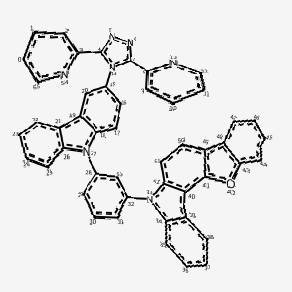 c1ccc(-c2nnc(-c3ccccn3)n2-c2ccc3c(c2)c2ccccc2n3-c2cccc(-n3c4ccccc4c4c5oc6ccccc6c5ccc43)c2)nc1